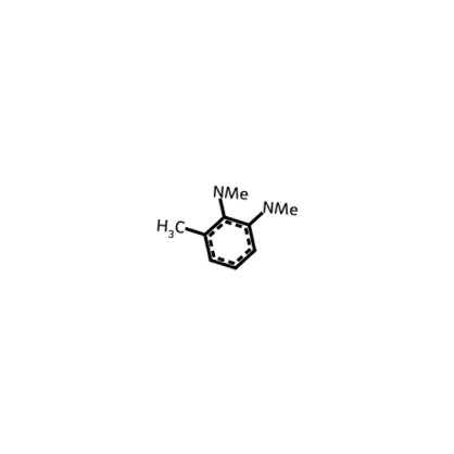 CNc1cccc(C)c1NC